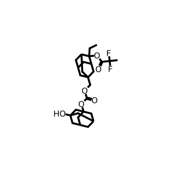 CCC1(OC(=O)C(C)(F)F)C2CC3CC1CC(COC(=O)OC14CC5CC(CC(O)(C5)C1)C4)(C3)C2